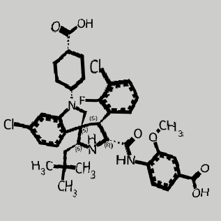 COc1cc(C(=O)O)ccc1NC(=O)[C@@H]1N[C@@H](CC(C)(C)C)[C@@]2(CN([C@H]3CC[C@@H](C(=O)O)CC3)c3cc(Cl)ccc32)[C@H]1c1cccc(Cl)c1F